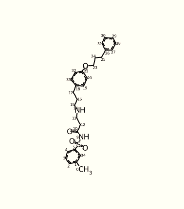 Cc1cccc(S(=O)(=O)NC(=O)CCNCCCc2ccc(OCCCc3ccccc3)cc2)c1